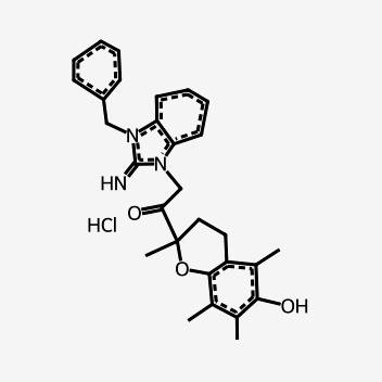 Cc1c(C)c2c(c(C)c1O)CCC(C)(C(=O)Cn1c(=N)n(Cc3ccccc3)c3ccccc31)O2.Cl